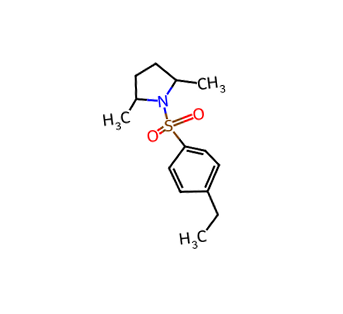 CCc1ccc(S(=O)(=O)N2C(C)CCC2C)cc1